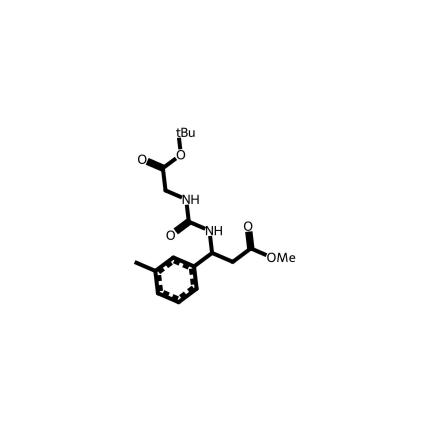 COC(=O)CC(NC(=O)NCC(=O)OC(C)(C)C)c1cccc(C)c1